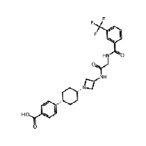 O=C(CNC(=O)c1cccc(C(F)(F)F)c1)NC1CN([C@H]2CC[C@@H](c3ccc(C(=O)O)cc3)CC2)C1